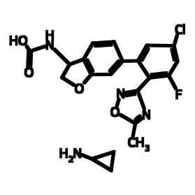 Cc1nc(-c2c(F)cc(Cl)cc2-c2ccc3c(c2)OCC3NC(=O)O)no1.NC1CC1